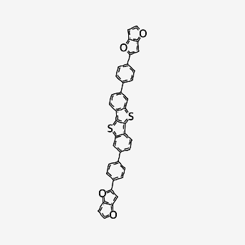 c1cc2oc(-c3ccc(-c4ccc5c(c4)sc4c6ccc(-c7ccc(-c8cc9occc9o8)cc7)cc6sc54)cc3)cc2o1